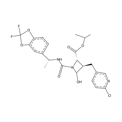 CC(C)OC(=O)[C@@H]1[C@@H](Cc2ccc(Cl)nc2)C(O)N1C(=O)N[C@H](C)c1ccc2c(c1)OC(F)(F)O2